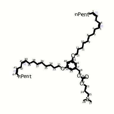 CCCCC/C=C\C/C=C\CCCCCCCCOc1cc(COC(=O)OCCCN(C)C)cc(OCCCCCCCC/C=C\C/C=C\CCCCC)c1